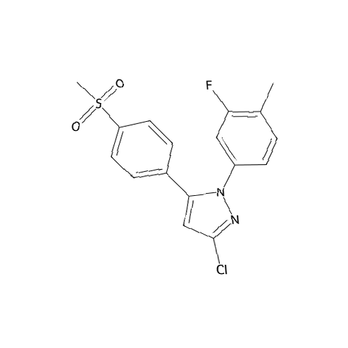 Cc1ccc(-n2nc(Cl)cc2-c2ccc(S(C)(=O)=O)cc2)cc1F